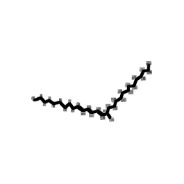 CCCCCCCCCC=CC=CC=CC(C)CC[CH]CCCCCCCCCC